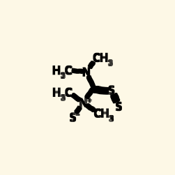 CN(C)C(=S=S)[N+](C)(C)[S-]